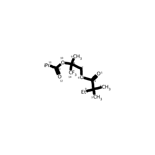 CCC(C)(C)C(=O)OCC(C)(OC(=O)C(C)C)C(F)(F)F